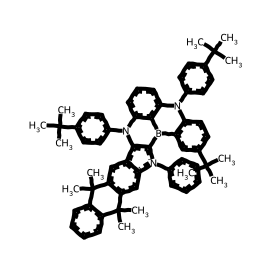 CC(C)(C)c1ccc(N2c3ccc(C(C)(C)C)cc3B3c4c2cccc4N(c2ccc(C(C)(C)C)cc2)c2c3n(-c3ccccc3)c3cc4c(cc23)C(C)(C)c2ccccc2C4(C)C)cc1